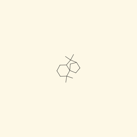 CC1(C)C2CCC3(C2)C1CCCC3(C)C